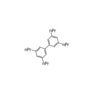 CCCc1[c]c(-c2[c]c(CCC)cc(CCC)c2)cc(CCC)c1